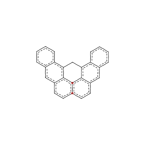 c1ccc2c(Cc3c4ccccc4cc4ccccc34)c3ccccc3cc2c1